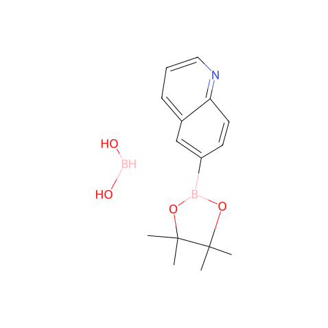 CC1(C)OB(c2ccc3ncccc3c2)OC1(C)C.OBO